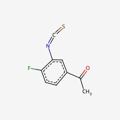 CC(=O)c1ccc(F)c(N=C=S)c1